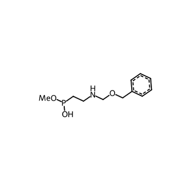 COP(O)CCNCOCc1ccccc1